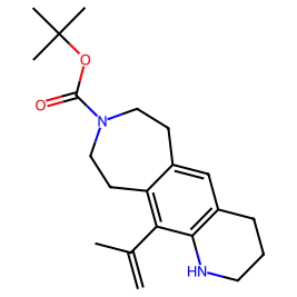 C=C(C)c1c2c(cc3c1NCCC3)CCN(C(=O)OC(C)(C)C)CC2